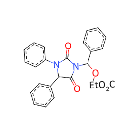 CCOC(=O)OC(c1ccccc1)N1C(=O)C(c2ccccc2)N(c2ccccc2)C1=O